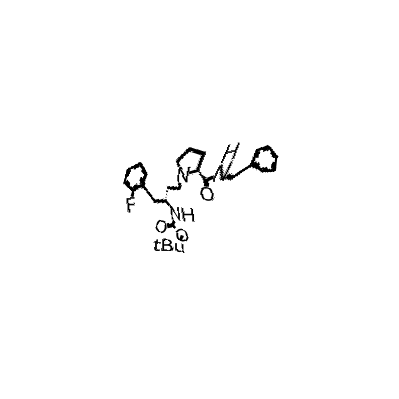 CC(C)(C)OC(=O)N[C@@H](CCN1CCC[C@H]1C(=O)NCc1ccccc1)Cc1ccccc1F